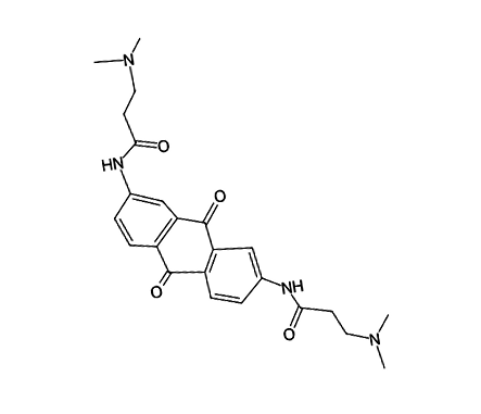 CN(C)CCC(=O)Nc1ccc2c(c1)C(=O)c1cc(NC(=O)CCN(C)C)ccc1C2=O